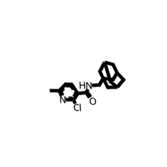 Cc1ccc(C(=O)NCC23CC4CC(CC(C4)C2)C3)c(Cl)n1